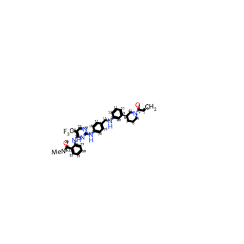 C=CC(=O)N1CCC[C@@H](c2cccc(NCc3ccc(Nc4ncc(C(F)(F)F)c(Nc5ccccc5C(=O)NC)n4)cc3)c2)C1